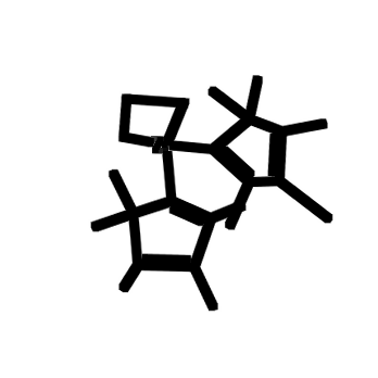 CC1=C(C)C(C)(C)[C]([Zr]2([C]3=C(C)C(C)=C(C)C3(C)C)[CH2]C[CH2]2)=C1C